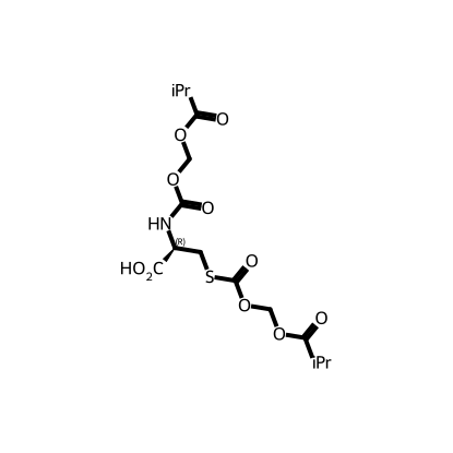 CC(C)C(=O)OCOC(=O)N[C@@H](CSC(=O)OCOC(=O)C(C)C)C(=O)O